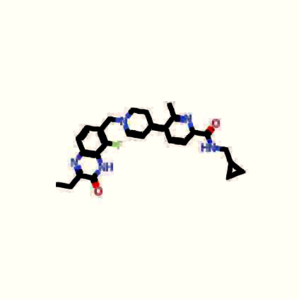 CCc1nc2ccc(CN3C=CC(=C4C=CC(C(=O)NCC5CC5)N=C4C)CC3)c(F)c2[nH]c1=O